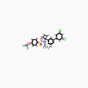 O=C(O)CN(C1(c2cccc(-c3cc(Cl)cc(Cl)c3)c2)CCC1)S(=O)(=O)c1ccc(OC(F)F)cc1